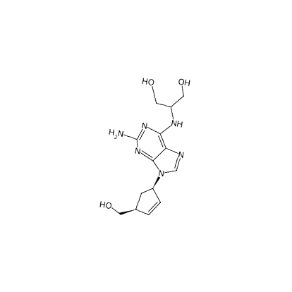 Nc1nc(NC(CO)CO)c2ncn([C@H]3C=C[C@@H](CO)C3)c2n1